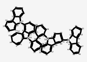 C1#Cc2c(c3c(-n4c5ccccc5c5ccccc54)cccc3n2-c2ccccc2C2=C(n3c4ccccc4c4cc(-n5c6ccccc6c6ccccc65)ccc43)C=CCC2)C=CC1